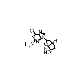 Nc1nc(Cl)c2ncn(C3C[C@H]4CC[C@@H](O)[C@H]4O3)c2n1